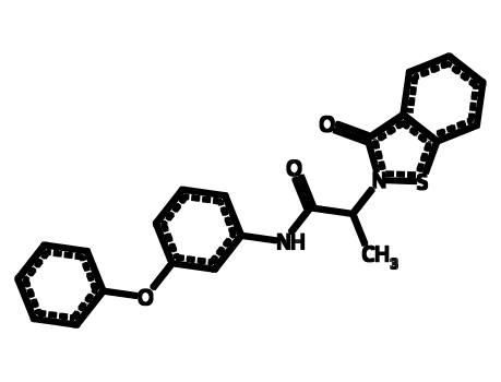 CC(C(=O)Nc1cccc(Oc2ccccc2)c1)n1sc2ccccc2c1=O